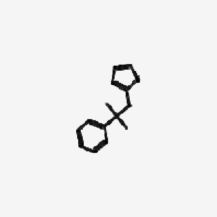 CC(C)([CH]c1cccs1)c1ccccc1